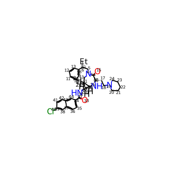 [2H]C1([2H])CN(C[C@@H](CC)c2ccccc2)C(=O)[C@H](CCN2CCCCC2)N[C@]1([2H])C([2H])([2H])NC(=O)c1ccc2cc(Cl)ccc2c1